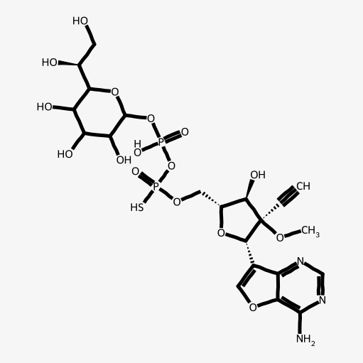 C#C[C@@]1(OC)[C@H](O)[C@@H](COP(=O)(S)OP(=O)(O)OC2OC([C@@H](O)CO)C(O)C(O)C2O)O[C@H]1c1coc2c(N)ncnc12